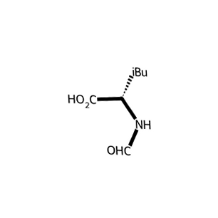 CCC(C)[C@H](NC=O)C(=O)O